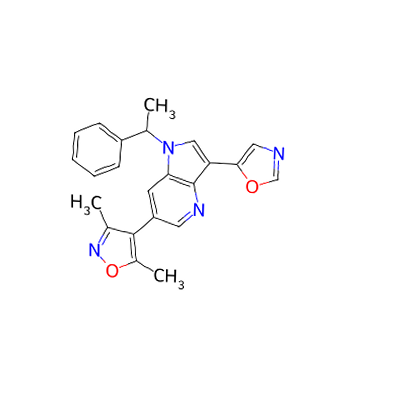 Cc1noc(C)c1-c1cnc2c(-c3cnco3)cn(C(C)c3ccccc3)c2c1